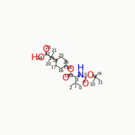 CC(C)C(NC(=O)OC(C)(C)C)C(=O)OC1CCC(C(C)(C)C(=O)O)CC1